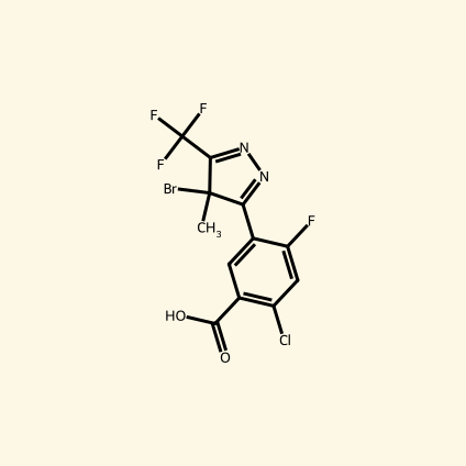 CC1(Br)C(c2cc(C(=O)O)c(Cl)cc2F)=NN=C1C(F)(F)F